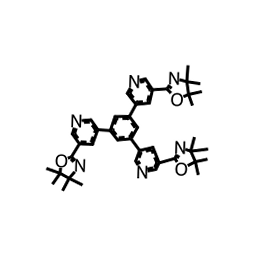 CC1(C)N=C(c2cncc(-c3cc(-c4cncc(C5=NC(C)(C)C(C)(C)O5)c4)cc(-c4cncc(C5=NC(C)(C)C(C)(C)O5)c4)c3)c2)OC1(C)C